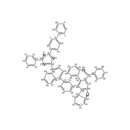 c1ccc(-c2ccc(-c3nc(-c4ccccc4)nc(-c4ccc(-c5cccc(-c6c7c(cc8c(-c9ccccc9)nc9ccccc9c68)oc6ccccc67)c5)c5ccccc45)n3)cc2)cc1